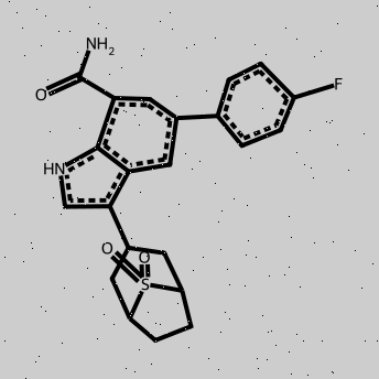 NC(=O)c1cc(-c2ccc(F)cc2)cc2c(C3CC4CCC(C3)S4(=O)=O)c[nH]c12